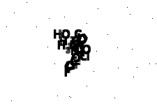 Cc1c(C(=O)O)cccc1-n1c(C)nc(OCc2ccc(F)cc2F)c(Cl)c1=O